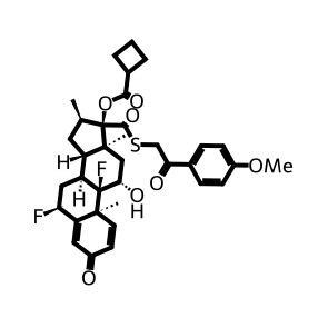 COc1ccc(C(=O)CSC(=O)[C@@]2(OC(=O)C3CCC3)[C@H](C)C[C@H]3[C@@H]4C[C@H](F)C5=CC(=O)C=C[C@]5(C)[C@@]4(F)[C@@H](O)C[C@@]32C)cc1